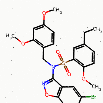 CCc1ccc(OC)c(S(=O)(=O)N(Cc2ccc(OC)cc2OC)c2noc3ccc(Br)cc23)c1